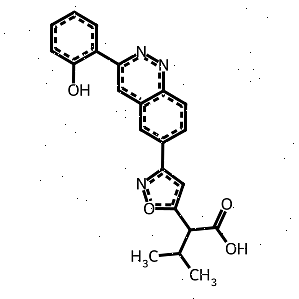 CC(C)C(C(=O)O)c1cc(-c2ccc3nnc(-c4ccccc4O)cc3c2)no1